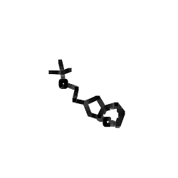 CC(C)(C)OCCC1Cc2ccccc2C1